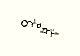 CC(C)(C)C(=O)Nc1cc([C@H]2C[C@@H](NC(=O)Cc3ccccc3)C2)[nH]n1